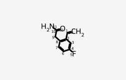 C=Cc1cc(F)ccc1CC(N)=O